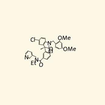 CCN(Cc1cccnc1)C(=O)c1ccc(Cl)c([C@@]2(C)C(=O)N(Cc3ccc(OC)cc3OC)c3ccc(Cl)cc32)c1